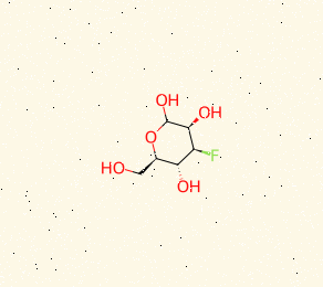 OC[C@H]1OC(O)[C@@H](O)[C@@H](F)[C@@H]1O